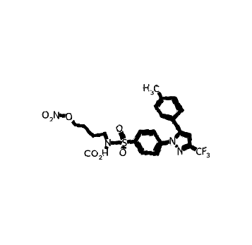 Cc1ccc(-c2cc(C(F)(F)F)nn2-c2ccc(S(=O)(=O)N(CCCCO[N+](=O)[O-])C(=O)O)cc2)cc1